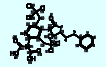 O=C1CC(CCc2ccccc2)CN1c1c(CC(Cl)(Cl)Cl)cnc(N(C(=O)O)C(=O)O)c1CC(Cl)(Cl)Cl